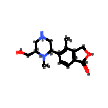 Cc1c([C@@H]2CNC[C@H](CO)N2C)ccc2c1COC2=O